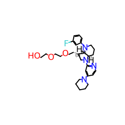 OCCOCCOCC[C@H]1CN(c2cc(N3CCCCC3)ccn2)[C@H]2CCCN(c3cccc(F)c3)[C@@H]12